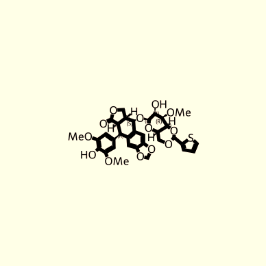 COc1cc([C@@H]2c3cc4c(cc3[C@@H](O[C@@H]3O[C@@H]5COC(c6cccs6)O[C@H]5[C@H](OC)[C@H]3O)[C@H]3COC(=O)[C@H]23)OCO4)cc(OC)c1O